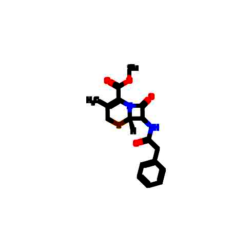 CC1=C(C(=O)OC(C)(C)C)N2C(=O)C(NC(=O)Cc3ccccc3)[C@@H]2SC1